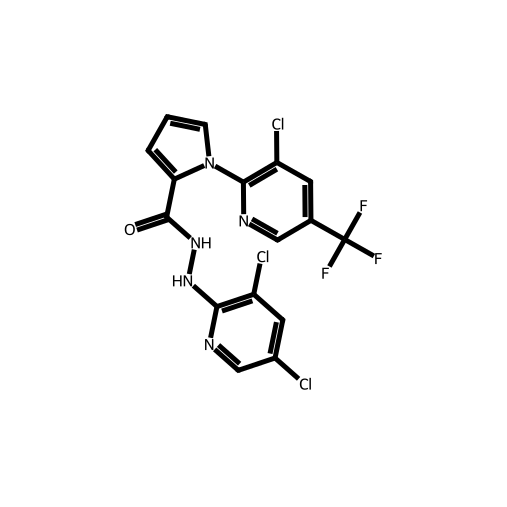 O=C(NNc1ncc(Cl)cc1Cl)c1cccn1-c1ncc(C(F)(F)F)cc1Cl